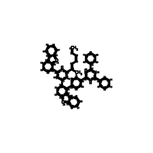 C=C/C=C\C=C(/C)c1nc(-c2ccc3oc4ccccc4c3c2-c2ccc(-c3nc(-c4ccccc4)nc(-c4ccccc4)n3)cc2)nc(-c2cccc3c2oc2ccccc23)n1